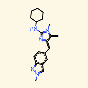 C=c1/c(=C/c2ccc3nn(C)cc3c2)nc(NC2CCCCC2)n1C